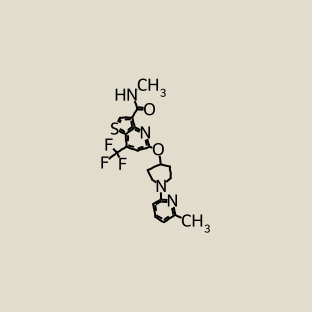 CNC(=O)c1csc2c(C(F)(F)F)cc(OC3CCN(c4cccc(C)n4)CC3)nc12